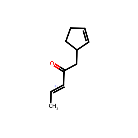 C/C=C/C(=O)CC1C=CCC1